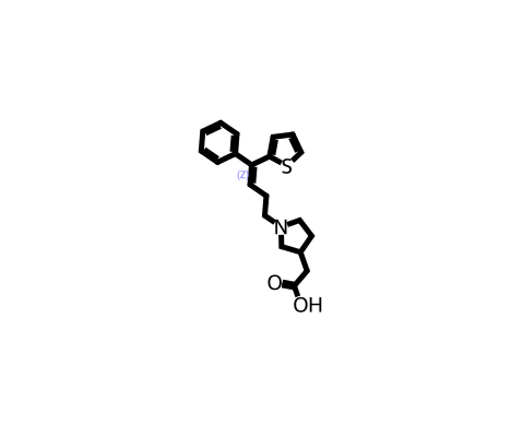 O=C(O)CC1CCN(CC/C=C(/c2ccccc2)c2cccs2)C1